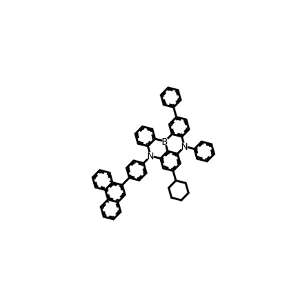 c1ccc(-c2ccc3c(c2)B2c4ccccc4N(c4ccc(-c5cc6ccccc6c6ccccc56)cc4)c4cc(C5CCCCC5)cc(c42)N3c2ccccc2)cc1